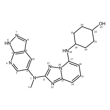 CN(c1cnc2[nH]ncc2c1)c1nc2cccc(NC3CCC(O)CC3)n2n1